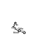 C=C(/C=C/c1cccn1CC)N/N=C(\C)CCc1c(OC)cc(OCc2ccccn2)cc1OC